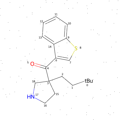 CC(C)(C)CCC1(C(=O)c2csc3ccccc23)CCNC1